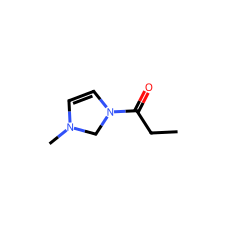 CCC(=O)N1C=CN(C)C1